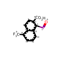 O=Ic1c(C(=O)O)ccc2c(C(F)(F)F)cccc12